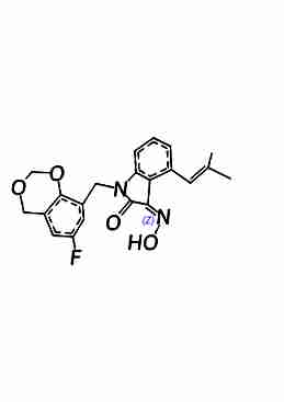 CC(C)=Cc1cccc2c1/C(=N/O)C(=O)N2Cc1cc(F)cc2c1OCOC2